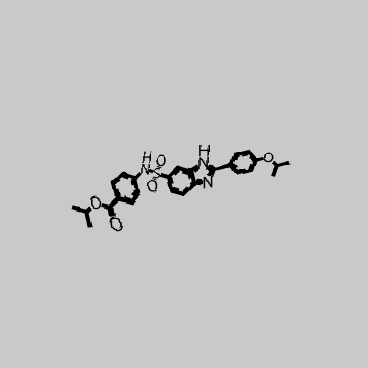 CC(C)OC(=O)c1ccc(NS(=O)(=O)c2ccc3nc(-c4ccc(OC(C)C)cc4)[nH]c3c2)cc1